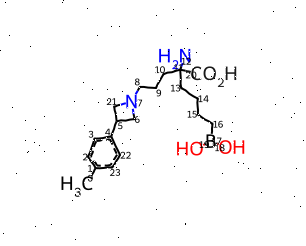 Cc1ccc(C2CN(CCCC(N)(CCCCB(O)O)C(=O)O)C2)cc1